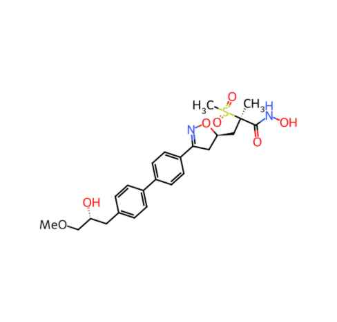 COC[C@H](O)Cc1ccc(-c2ccc(C3=NO[C@@H](C[C@](C)(C(=O)NO)S(C)(=O)=O)C3)cc2)cc1